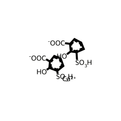 O=C([O-])c1cccc(S(=O)(=O)O)c1O.O=C([O-])c1cccc(S(=O)(=O)O)c1O.[Ca+2]